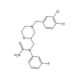 NC(=O)N(CC1CN(Cc2ccc(Cl)c(Cl)c2)CCO1)c1cccc(F)c1